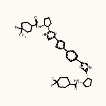 CC1(F)CCC(C(=O)N[C@H]2CCC[C@H]2c2nc(-c3ccc(-c4ccc(-c5c[nH]c([C@@H]6CCC[C@@H]6NC(=O)C6CCC(F)(F)CC6)n5)cc4)cc3)c[nH]2)CC1